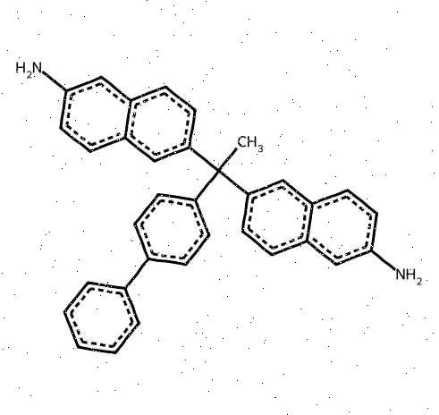 CC(c1ccc(-c2ccccc2)cc1)(c1ccc2cc(N)ccc2c1)c1ccc2cc(N)ccc2c1